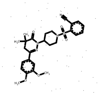 COc1ccc(C2=NN(C3CCN(S(=O)(=O)c4ccccc4C#N)CC3)C(=O)C(C)(C)C2)cc1OC